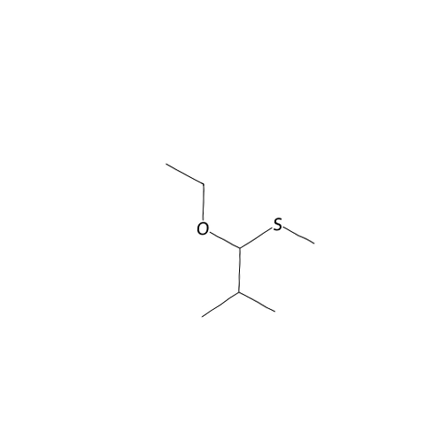 CCOC(SC)C(C)C